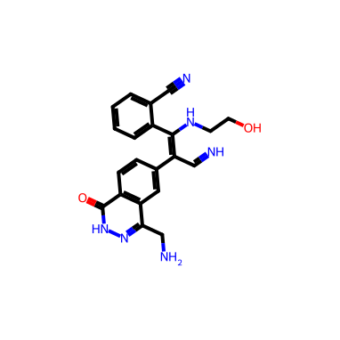 N#Cc1ccccc1/C(NCCO)=C(/C=N)c1ccc2c(=O)[nH]nc(CN)c2c1